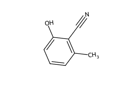 Cc1cccc(O)c1C#N